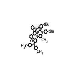 Cc1ccc(N(c2ccc(C)cc2)c2ccc(N3c4cc(C)cc5c4B(c4sc6ccc(C(C)(C)C)cc6c4N5c4ccc(C(C)(C)C)cc4)c4c3ccc3c4C(C)(C)c4ccccc4-3)c3c2oc2ccccc23)cc1